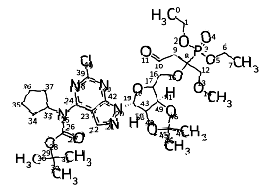 CCOP(=O)(OCC)C(CC=O)(COC)OCC1O[C@@H](n2ncc3c(N(C(=O)OC(C)(C)C)C4CCCC4)nc(Cl)nc32)[C@@H]2OC(C)(C)O[C@H]12